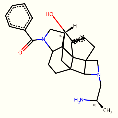 C[C@@H](N)CN1CC23Cc4ccc(O)cc4C24C2C5CCC4(C[C@@H]2CN5C(=O)c2ccccc2)C13